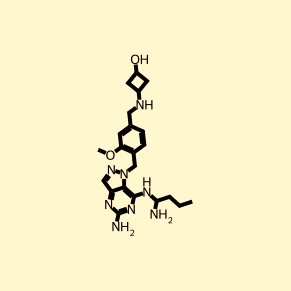 CCCC(N)Nc1nc(N)nc2cnn(Cc3ccc(CNC4CC(O)C4)cc3OC)c12